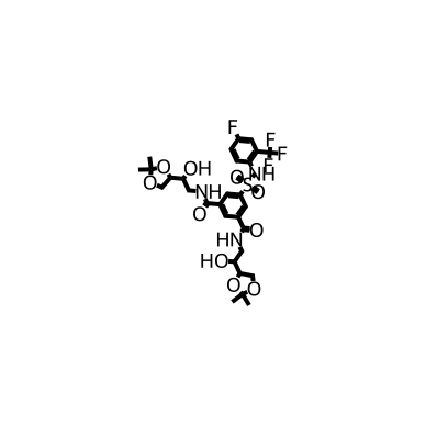 CC1(C)OCC(C(O)CNC(=O)c2cc(C(=O)NCC(O)C3COC(C)(C)O3)cc(S(=O)(=O)Nc3ccc(F)cc3C(F)(F)F)c2)O1